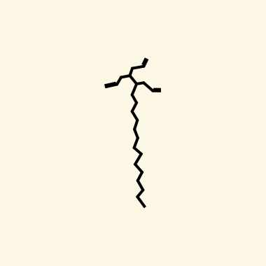 C=CC[C](CC=C)C(CC=C)CCCCCCCCCCCCCC